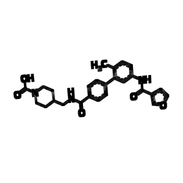 Cc1ccc(NC(=O)c2ccoc2)cc1-c1ccc(C(=O)NCC2CCN(C(=O)O)CC2)cc1